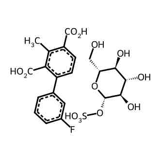 Cc1c(C(=O)O)ccc(-c2cccc(F)c2)c1C(=O)O.O=S(=O)(O)O[C@@H]1O[C@H](CO)[C@@H](O)[C@H](O)[C@H]1O